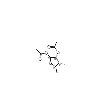 CC(=O)O[C@@H]1O[C@H](C)[C@@H](C)[C@H]1OC(C)=O